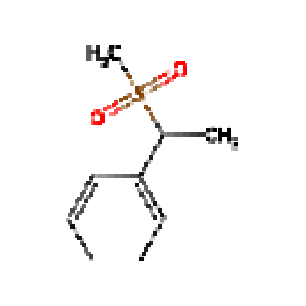 CC(c1ccccc1)S(C)(=O)=O